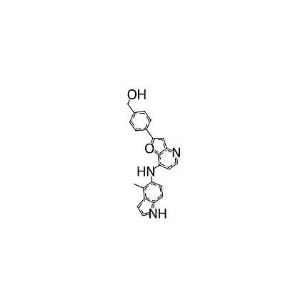 Cc1c(Nc2ccnc3cc(-c4ccc(CO)cc4)oc23)ccc2[nH]ccc12